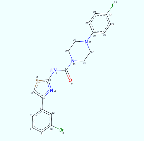 O=C(Nc1nc(-c2cccc(Br)c2)cs1)N1CCN(c2ccc(F)cc2)CC1